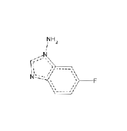 Nn1cnc2ccc(F)cc21